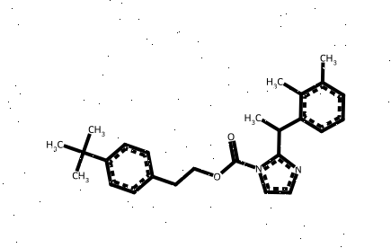 Cc1cccc(C(C)c2nccn2C(=O)OCCc2ccc(C(C)(C)C)cc2)c1C